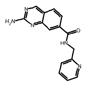 Nc1ncc2ccc(C(=O)NCc3ccccn3)cc2n1